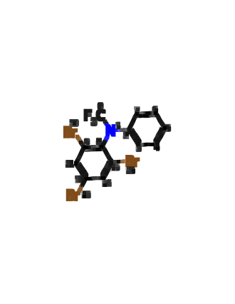 FC(F)(F)N(c1ccccc1)c1c(Br)cc(Br)cc1Br